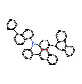 c1ccc(-c2cccc3c(N(c4ccc(-c5cc6ccccc6c6ccccc56)cc4)c4ccccc4-c4ccc5ccccc5c4)cccc23)cc1